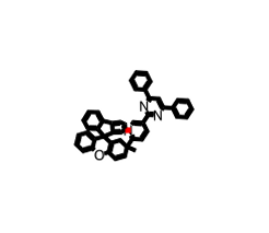 CC1(c2ccc(-c3nc(-c4ccccc4)cc(-c4ccccc4)n3)cn2)C=CC2=C(C1)C1(c3ccccc3O2)c2ccccc2-c2ccccc21